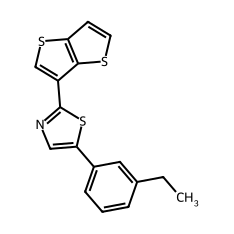 CCc1cccc(-c2cnc(-c3csc4ccsc34)s2)c1